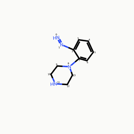 N=Nc1ccccc1N1CCNCC1